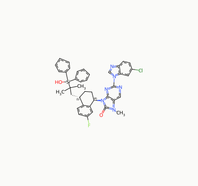 Cn1c(=O)n([C@@H]2CC[C@@H](CC(C)(C)[Si](O)(c3ccccc3)c3ccccc3)c3ccc(F)cc32)c2nc(-n3cnc4ccc(Cl)cc43)ncc21